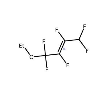 CCOC(F)(F)/C(F)=C(\F)C(F)F